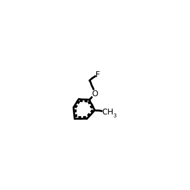 Cc1ccccc1OCF